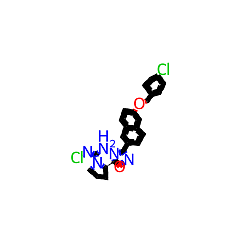 N/C(=N/Cl)N1CCC[C@H]1c1nc(-c2ccc3cc(OCc4ccc(Cl)cc4)ccc3c2)no1